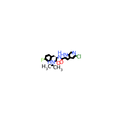 CC(C)NC(=O)[C@H](Cc1ccc(F)cc1)NC(=O)c1cc2cc(Cl)ncc2[nH]1